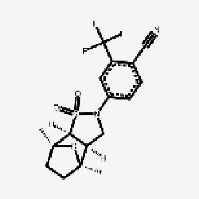 C[C@]12CC[C@](C)(O1)[C@@H]1[C@H]2CN(c2ccc(C#N)c(C(F)(F)F)c2)S1(=O)=O